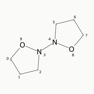 [CH]1CCN(N2CCCO2)O1